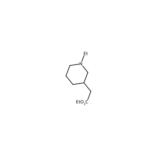 CCOC(=O)CC1CCCN(CC)C1